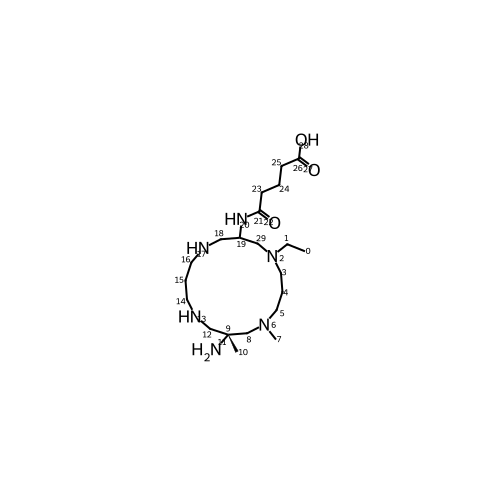 CCN1CCCN(C)C[C@](C)(N)CNCCCNCC(NC(=O)CCCC(=O)O)C1